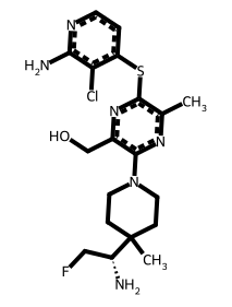 Cc1nc(N2CCC(C)([C@H](N)CF)CC2)c(CO)nc1Sc1ccnc(N)c1Cl